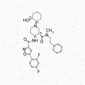 CN(CCc1ccccc1)C(=O)[C@@H]1CN([C@@H]2CCCC[C@@H]2O)CC[C@H]1NC(=O)c1cc(-c2ccc(F)cc2F)on1